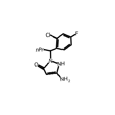 CCCC(c1ccc(F)cc1Cl)n1[nH]c(N)cc1=O